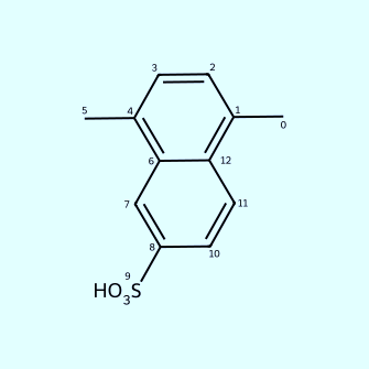 Cc1ccc(C)c2cc(S(=O)(=O)O)ccc12